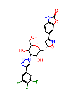 O=c1[nH]c2ccc(C3=NO[C@H](C[C@H]4O[C@H](CO)[C@H](O)[C@H](n5cc(-c6cc(F)c(F)c(F)c6)nn5)[C@H]4O)C3)cc2o1